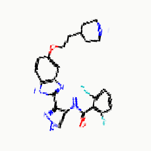 O=C(Nc1c[nH]nc1-c1nc2cc(OCCC3CCNCC3)ccc2[nH]1)c1c(F)cccc1F